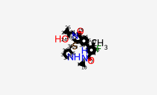 Cc1c(F)cc(C(=O)NC2CC2)cc1-c1ccc2c(=O)n(CC3(CO)CC3)cc(SC[C@@H]3CCCNC3)c2c1